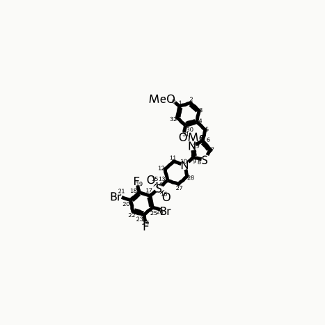 COc1ccc(Cc2csc(N3CCC(S(=O)(=O)c4c(F)c(Br)cc(F)c4Br)CC3)n2)c(OC)c1